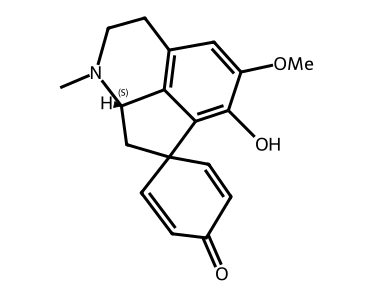 COc1cc2c3c(c1O)C1(C=CC(=O)C=C1)C[C@@H]3N(C)CC2